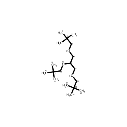 CC(C)(C)COCC(COCC(C)(C)C)OCC(C)(C)C